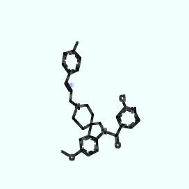 COc1ccc2c(c1)C1(CCN(C/C=C/c3ccc(C)cc3)CC1)CN2C(=O)c1ccnc(Cl)c1